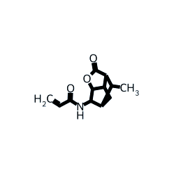 C=CC(=O)NC1C2CC3C1OC(=O)C3C2C